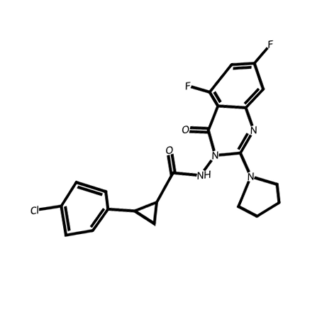 O=C(Nn1c(N2CCCC2)nc2cc(F)cc(F)c2c1=O)C1CC1c1ccc(Cl)cc1